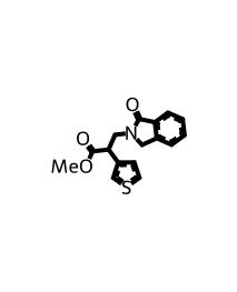 COC(=O)C(CN1Cc2ccccc2C1=O)c1ccsc1